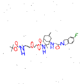 CC1CC2CC(C)(NC(=O)OCCOCCNC(=O)OC(C)(C)C)CC(NCC(=O)N3Cc4ccc(F)cc4C3)(C1)C2